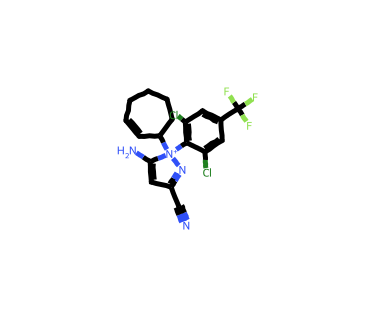 N#CC1=N[N+](c2c(Cl)cc(C(F)(F)F)cc2Cl)(C2C=CCCCC2)C(N)=C1